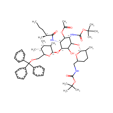 CCC[C@H](C)C(=O)N[C@@H]1C(OC(C)=O)[C@H](NC(=O)OC(C)(C)C)C(O[C@H]2OC(CNC(=O)OC(C)(C)C)CCC2C)C(O)[C@H]1O[C@H]1OC(COC(c2ccccc2)(c2ccccc2)c2ccccc2)[C@H](C)[C@H](C)C1C